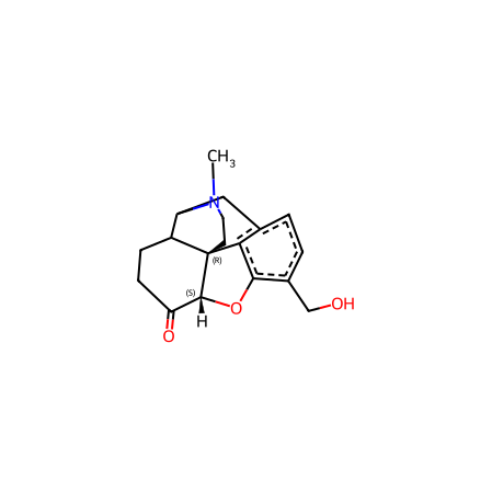 CN1CC[C@@]23c4c5ccc(CO)c4O[C@@H]2C(=O)CCC3C1C5